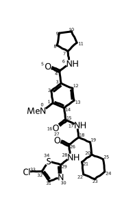 CNc1cc(C(=O)NC2CCCC2)ccc1C(=O)NC(CC1CCCCC1)C(=O)Nc1ncc(Cl)s1